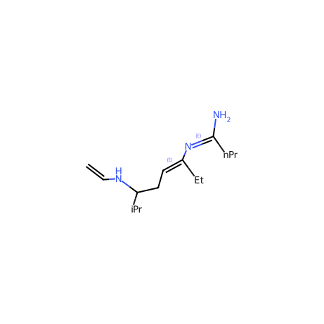 C=CNC(C/C=C(CC)/N=C(/N)CCC)C(C)C